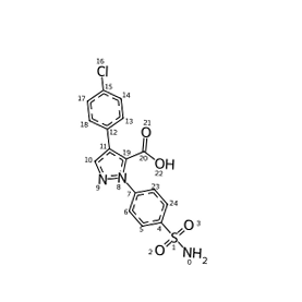 NS(=O)(=O)c1ccc(-n2ncc(-c3ccc(Cl)cc3)c2C(=O)O)cc1